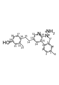 Cc1ccc2c(c1)CN(N)c1ncc(CCc3ccc(O)cc3C)cc1-2